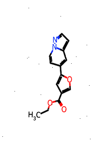 CCOC(=O)c1coc(-c2ccn3nccc3c2)c1